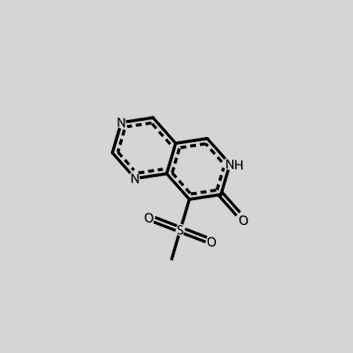 CS(=O)(=O)c1c(=O)[nH]cc2cncnc12